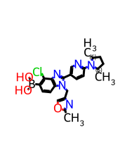 Cc1nc(Cn2c(-c3ccc(N4[C@@H](C)CC[C@@H]4C)nc3)nc3c(Cl)c(B(O)O)ccc32)co1